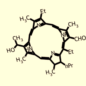 CCCC1c2nc(cc3[nH]c(cc4nc(cc5[nH]c(c(C=O)c5C)c2CC)C(CC)=C4C)c(C(C)O)c3C)C1C